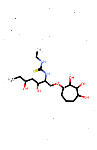 CCNC(=S)NC(COC1CCCC(O)C(O)C1O)C(O)CC(O)CC